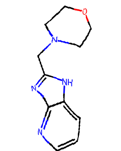 c1cnc2nc(CN3CCOCC3)[nH]c2c1